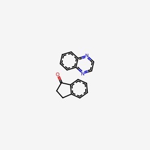 O=C1CCc2ccccc21.c1ccc2nccnc2c1